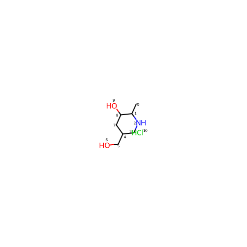 CC1NCC(CO)CC1O.Cl